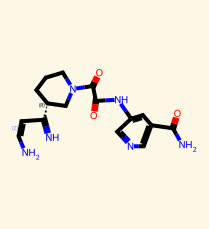 N=C(/C=C\N)[C@@H]1CCCN(C(=O)C(=O)Nc2cncc(C(N)=O)c2)C1